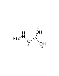 CCNOP(O)O